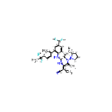 C=C(/C=C\CC(C)(F)F)c1cc(C(F)F)ccc1NCN/C(C(=C)N(CC)N1CCCC1C)=C(/C)C#N